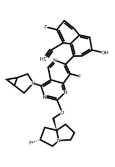 C#Cc1c(F)ccc2cc(O)cc(-c3ncc4c(N5CC6CC6C5)nc(OC[C@@]56CCCN5C[C@H](F)C6)nc4c3F)c12